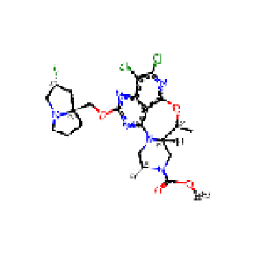 CC[C@@H]1CN2c3nc(OC[C@@]45CCCN4C[C@H](F)C5)nc4c(Cl)c(Cl)nc(c34)O[C@@H](C)[C@@H]2CN1C(=O)OC(C)(C)C